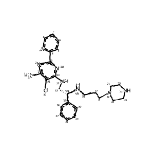 Cc1nc(-c2ccccn2)nc(NC[C@H](NCCCN2CCNCC2)c2ccccc2)c1Cl